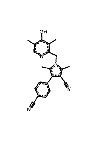 Cc1cnc(Cn2c(C)c(C#N)c(-c3ccc(C#N)cc3)c2C)c(C)c1O